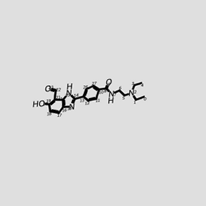 CCN(CC)CCNC(=O)c1ccc(-c2nc3ccc(O)c(C=O)c3[nH]2)cc1